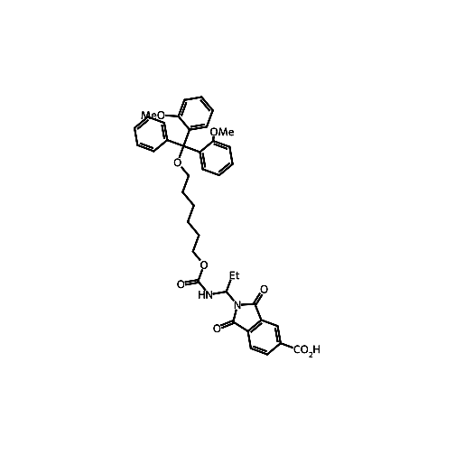 CCC(NC(=O)OCCCCCCOC(c1ccccc1)(c1ccccc1OC)c1ccccc1OC)N1C(=O)c2ccc(C(=O)O)cc2C1=O